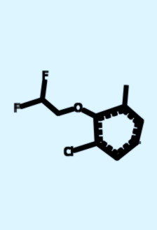 Cc1c[c]cc(Cl)c1OCC(F)F